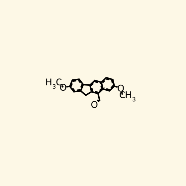 COc1ccc2c(c1)Cc1c-2cc2ccc(OC)cc2c1C=O